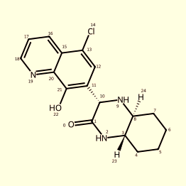 O=C1N[C@H]2CCCC[C@@H]2N[C@H]1c1cc(Cl)c2cccnc2c1O